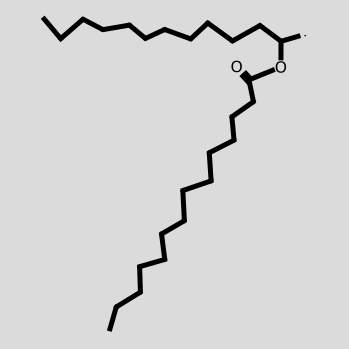 [CH2]C(CCCCCCCCCCC)OC(=O)CCCCCCCCCCCCC